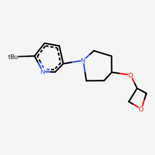 CC(C)(C)c1ccc(N2CCC(OC3COC3)CC2)cn1